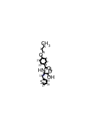 CCCCOc1ccc(C(=O)N/C(=C/c2cccs2)C(=O)O)cc1